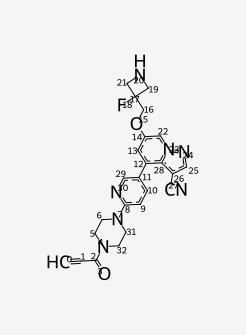 C#CC(=O)N1CCN(c2ccc(-c3cc(OCC4(F)CNC4)cn4ncc(C#N)c34)cn2)CC1